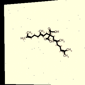 CC(C)=CCC/C(C)=C/CC(C/C=C(\C)CCC=C(C)C)(C(=O)O)C(=O)O